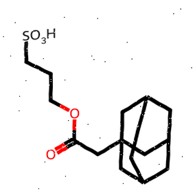 O=C(CC12CC3CC(CC(C3)C1)C2)OCCCS(=O)(=O)O